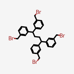 BrCc1cccc(C(CCC(c2cccc(CBr)c2)c2cccc(CBr)c2)c2cccc(CBr)c2)c1